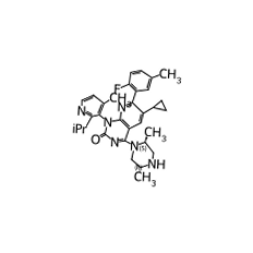 Cc1ccc(F)c(-c2nc3c(cc2C2CC2)c(N2C[C@@H](C)NC[C@@H]2C)nc(=O)n3-c2c(C)ccnc2C(C)C)c1